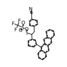 N#Cc1ccc(CC(SOS(=O)(=O)C(F)(F)F)c2cccc(-c3c4ccccc4cc4cc5ccccc5cc34)c2)cc1